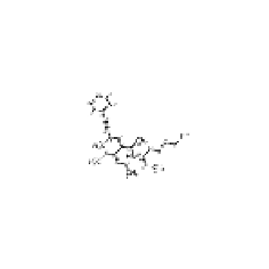 C=C/C=C(CC)\C(=C/C(C)C#Cc1ccccn1)C(=C)N/C(=C/C)CC=CCF